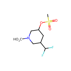 CS(=O)(=O)OC1CC(C(F)F)CN(C(=O)O)C1